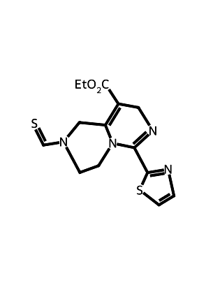 CCOC(=O)C1=C2CN(C=S)CCN2C(c2nccs2)=NC1